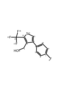 OCc1c(-c2ccc(F)cc2)csc1C(F)(F)F